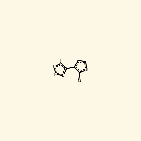 CCc1sccc1-c1nnn[nH]1